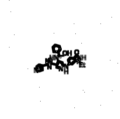 CCn1[nH]c(=O)c2ccc(Nc3cc(N[C@H](CO)c4ccccc4)c(-c4nc(C56CCN(CC5)CC6)no4)cn3)cc21